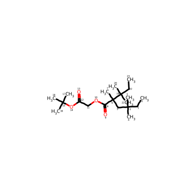 CCC(C)(C)CC(C)(C(=O)OCC(=O)OC(C)(C)C)C(C)(C)CC